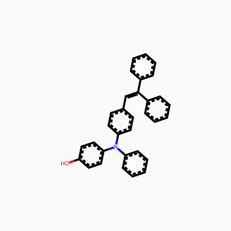 Oc1ccc(N(c2ccccc2)c2ccc(C=C(c3ccccc3)c3ccccc3)cc2)cc1